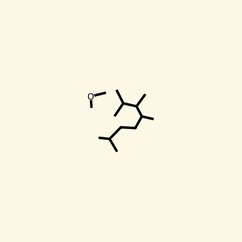 CC(C)CCC(C)C(C)C(C)C.COC